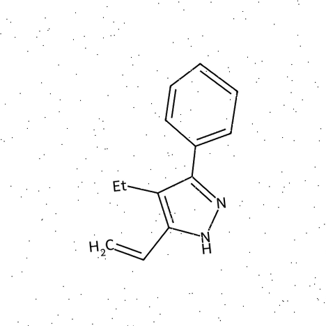 C=Cc1[nH]nc(-c2ccccc2)c1CC